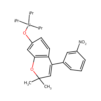 CC(C)[Si](Oc1ccc2c(c1)OC(C)(C)C=C2c1cccc([N+](=O)[O-])c1)(C(C)C)C(C)C